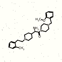 COc1ccccc1CN1CCN(C(=O)[C@H](N)C2CCN(CCc3ccccc3C)CC2)CC1